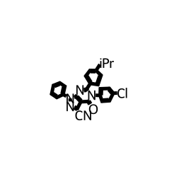 CC(C)c1ccc(-c2nc3c(c(C#N)nn3-c3ccccc3)c(=O)n2-c2ccc(Cl)cc2)cc1